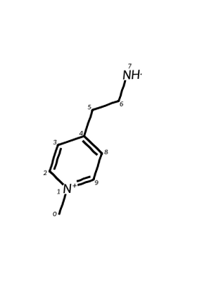 C[n+]1ccc(CC[NH])cc1